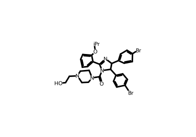 CC(C)Oc1ccccc1C1=NC(c2ccc(Br)cc2)C(c2ccc(Br)cc2)N1C(=O)N1CCN(CCO)CC1